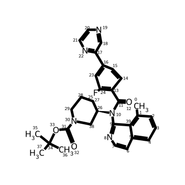 Cc1cccc2ccnc(N(C(=O)c3ccc(-c4cnccn4)cc3F)[C@@H]3CCCN(C(=O)OC(C)(C)C)C3)c12